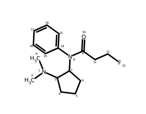 CN(C)C1CCCC1N(C(=O)CCF)c1ccccc1